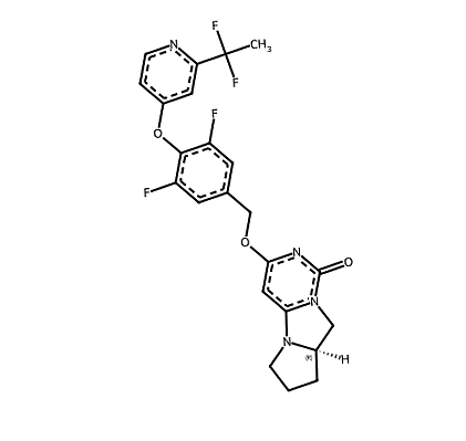 CC(F)(F)c1cc(Oc2c(F)cc(COc3cc4n(c(=O)n3)C[C@H]3CCCN43)cc2F)ccn1